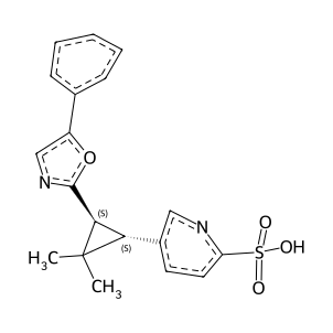 CC1(C)[C@@H](c2ccc(S(=O)(=O)O)nc2)[C@@H]1c1ncc(-c2ccccc2)o1